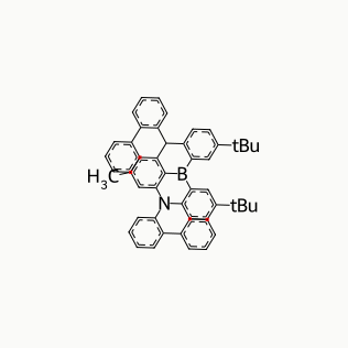 Cc1cc2c3c(c1)N(c1ccccc1-c1ccccc1)c1ccc(C(C)(C)C)cc1B3c1cc(C(C)(C)C)ccc1C2c1ccccc1-c1ccccc1